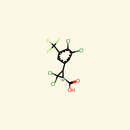 O=C(O)[C@@H]1C(c2cc(Cl)c(Cl)c(C(F)(F)F)c2)C1(Cl)Cl